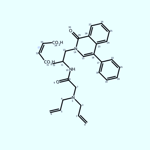 C=CCN(CC=C)CC(=O)NC(C)Cn1cc(-c2ccccc2)c2ccccc2c1=O.O=C(O)/C=C\C(=O)O